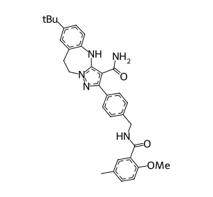 COc1ccc(C)cc1C(=O)NCc1ccc(-c2nn3c(c2C(N)=O)Nc2ccc(C(C)(C)C)cc2CC3)cc1